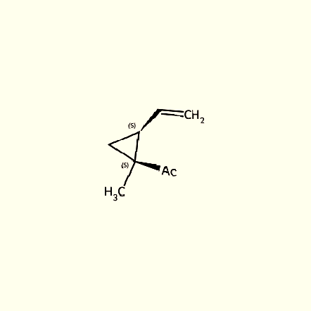 C=C[C@@H]1C[C@]1(C)C(C)=O